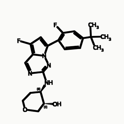 CC(C)(C)c1ccc(-c2cc(F)c3cnc(N[C@@H]4CCOC[C@H]4O)nn23)c(F)c1